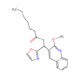 CCCCCCC(=O)CC(c1ncco1)c1cc2ccccc2nc1OC